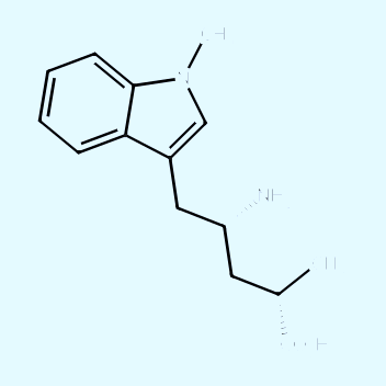 C[C@@H](C[C@@H](N)Cc1cn(C)c2ccccc12)C(=O)O